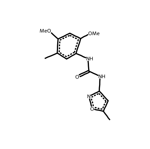 COc1cc(OC)c(NC(=O)Nc2cc(C)on2)cc1C